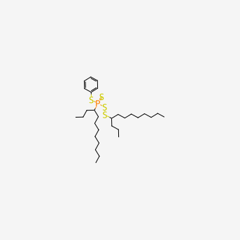 CCCCCCCCC(CCC)SSP(=S)(Sc1ccccc1)C(CCC)CCCCCCCC